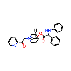 O=C(C[N+]12CCC(CC1)[C@@H](OC(=O)C(Nc1ccccc1)c1ccccc1)C2)c1ccccn1